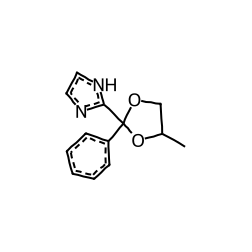 CC1COC(c2ccccc2)(c2ncc[nH]2)O1